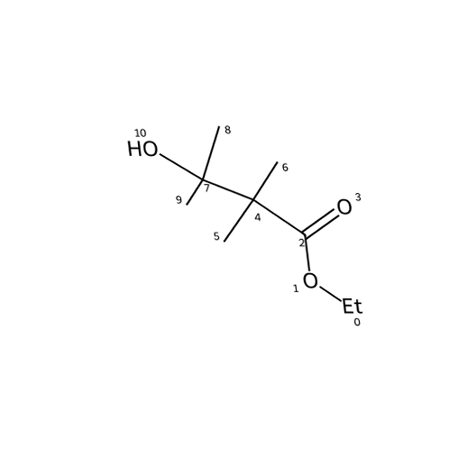 CCOC(=O)C(C)(C)C(C)(C)O